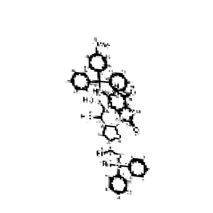 CCC(O[Si](c1ccccc1)(c1ccccc1)C(C)(C)C)[C@@H]1C[C@@H](C(C)CS(=O)(=O)O)[C@H](n2c(=O)sc3c(=O)[nH]c(NC(c4ccccc4)(c4ccccc4)c4ccc(OC)cc4)nc32)O1